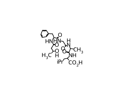 CC(C)CC(NC(=O)C(C)NC(=O)CNC(=O)C(Cc1ccccc1)NC(=O)CC(C)O)C(=O)O